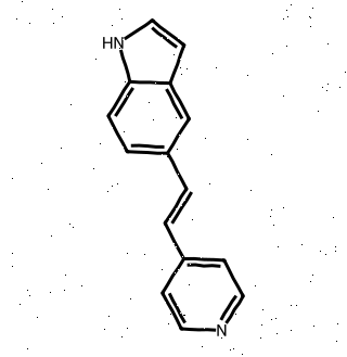 C(=Cc1ccc2[nH]ccc2c1)c1ccncc1